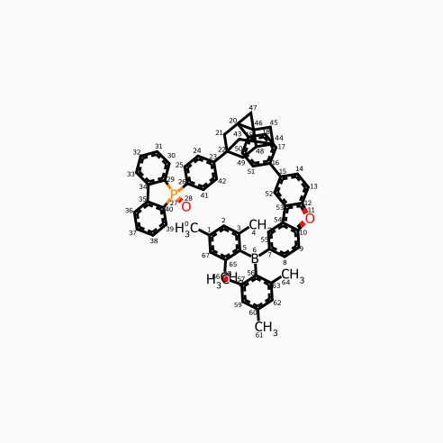 Cc1cc(C)c(B(c2ccc3oc4ccc(-c5ccc(C67CC8(c9ccc(P%10(=O)c%11ccccc%11-c%11ccccc%11%10)cc9)CC9CC6(C7)C9C8)cc5)cc4c3c2)c2c(C)cc(C)cc2C)c(C)c1